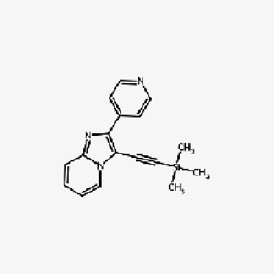 C[Si](C)(C)C#Cc1c(-c2ccncc2)nc2ccccn12